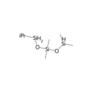 CC(C)[SiH2]O[Si](C)(C)O[SiH](C)C